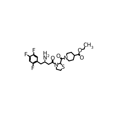 CCOC(=O)C1CCN(C(=O)C2SCCN2C(=O)C[C@H](N)Cc2cc(F)c(F)cc2F)CC1